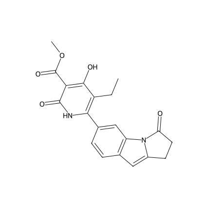 CCc1c(-c2ccc3cc4n(c3c2)C(=O)CC4)[nH]c(=O)c(C(=O)OC)c1O